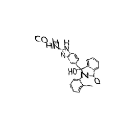 Cc1ccccc1N1C(=O)c2ccccc2C1(O)c1ccc2[nH]c(NC(=O)O)nc2c1